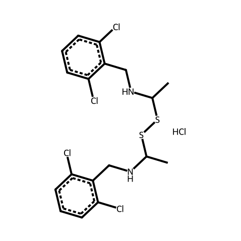 CC(NCc1c(Cl)cccc1Cl)SSC(C)NCc1c(Cl)cccc1Cl.Cl